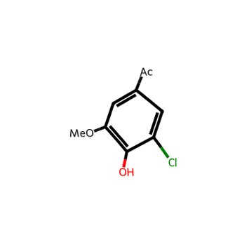 COc1cc(C(C)=O)cc(Cl)c1O